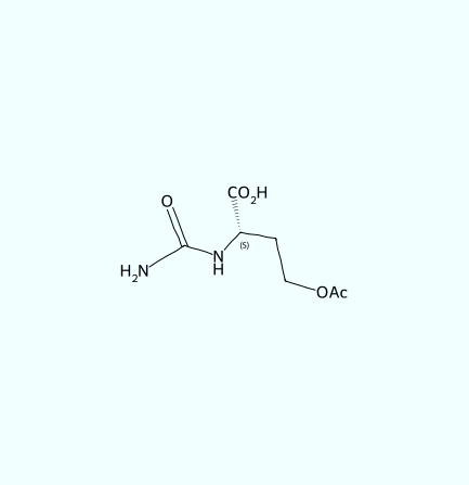 CC(=O)OCC[C@H](NC(N)=O)C(=O)O